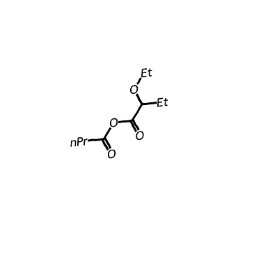 CCCC(=O)OC(=O)C(CC)OCC